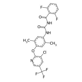 Cc1cc(Oc2ncc(C(F)(F)F)cc2Cl)c(C)cc1NC(=O)NC(=O)c1c(F)cccc1F